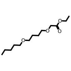 CCCCCOCCCCOCC(=O)OCC